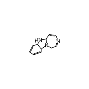 C1=CC2NC3C=CN=CCN3C2C=C1